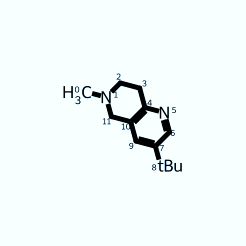 CN1CCc2ncc(C(C)(C)C)cc2C1